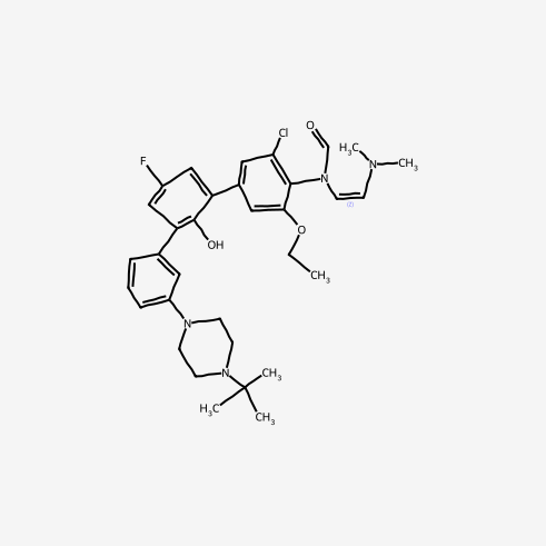 CCOc1cc(-c2cc(F)cc(-c3cccc(N4CCN(C(C)(C)C)CC4)c3)c2O)cc(Cl)c1N(C=O)/C=C\N(C)C